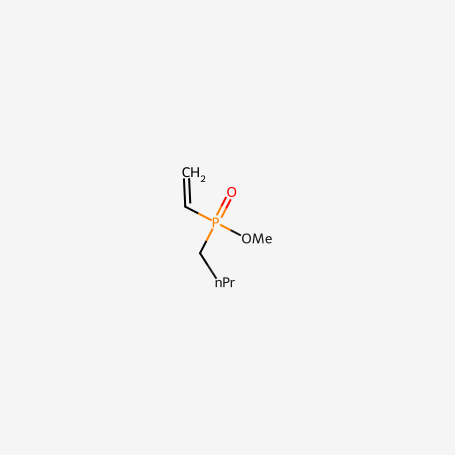 C=CP(=O)(CCCC)OC